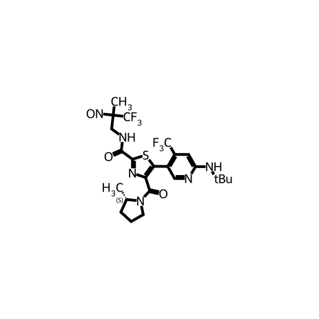 C[C@H]1CCCN1C(=O)c1nc(C(=O)NCC(C)(N=O)C(F)(F)F)sc1-c1cnc(NC(C)(C)C)cc1C(F)(F)F